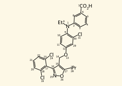 CCN(c1cccc(C(=O)O)c1)c1ccc(OCc2c(-c3c(Cl)cccc3Cl)noc2C(C)C)cc1Cl